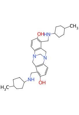 CC1CCC(NCc2c(O)ccc3c2CN2CN3Cc3c2ccc(O)c3CNC2CCC(C)CC2)CC1